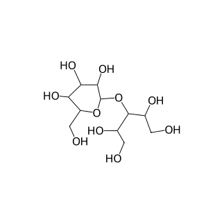 OCC(O)C(OC1OC(CO)C(O)C(O)C1O)C(O)CO